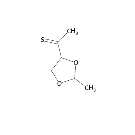 CC(=S)C1COC(C)O1